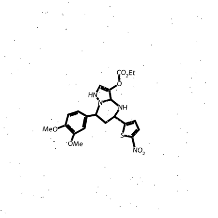 CCOC(=O)OC1=CNN2C1NC(c1ccc([N+](=O)[O-])s1)CC2c1ccc(OC)c(OC)c1